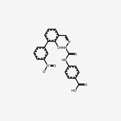 O=C(O)c1ccc(NC(=S)N/N=C\c2cccc(-c3cccc([N+](=O)[O-])c3)c2O)cc1